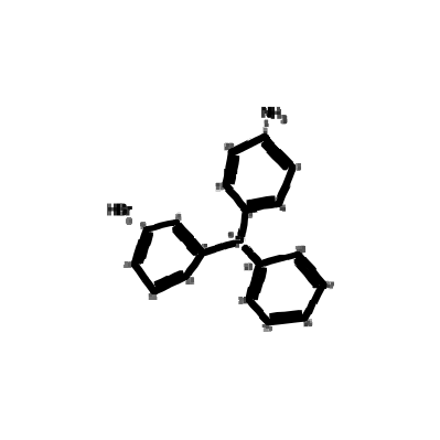 Br.N.c1ccc(P(c2ccccc2)c2ccccc2)cc1